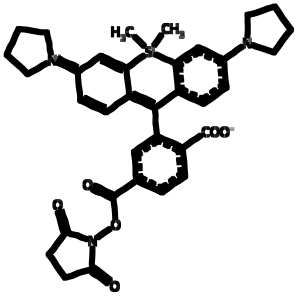 C[Si]1(C)C2=CC(=[N+]3CCCC3)C=CC2=C(c2cc(C(=O)ON3C(=O)CCC3=O)ccc2C(=O)[O-])c2ccc(N3CCCC3)cc21